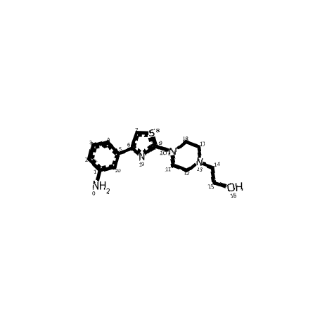 Nc1cccc(-c2csc(N3CCN(CCO)CC3)n2)c1